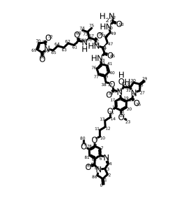 C=C1CC2C=Nc3cc(OCCCCCOc4cc5c(cc4OC)C(=O)N4CC(=C)C[C@H]4[C@H](O)N5C(=O)OCc4ccc(NC(=O)[C@H](CCCNC(N)=O)NC(=O)[C@@H](NC(=O)CCCCCN5C(=O)C=CC5=O)C(C)C)cc4)c(OC)cc3C(=O)N2C1